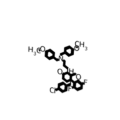 COc1ccc(CN(CCC[C@@H]2C(=O)CC[C@@]3(Cc4ccc(Cl)cc4)c4c(F)ccc(F)c4OC[C@@H]23)Cc2ccc(OC)cc2)cc1